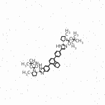 C[C@H]1CC[C@@H](c2ncc(-c3ccc(-c4ccc(-c5ccc6nc([C@@H]7CC[C@H](C)N7C(=O)OC(C)(C)C)[nH]c6c5)c5c4C4CCC5C4)cc3)[nH]2)N1C(=O)OC(C)(C)C